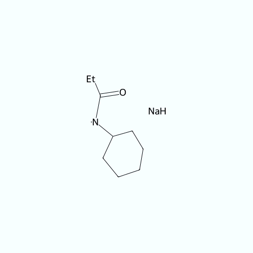 CCC(=O)[N]C1CCCCC1.[NaH]